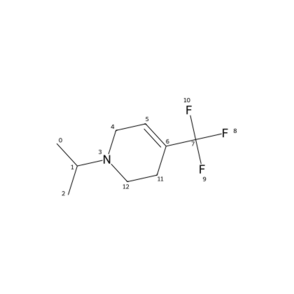 CC(C)N1CC=C(C(F)(F)F)CC1